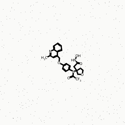 Cc1cc(COc2ccc(N(C(=O)C(F)(F)F)C3(CC(=O)NO)CCOC3)cc2)c2ccccc2n1